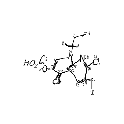 CC(C)(CF)n1cc(OC(=O)O)c(=O)c2cc(F)c(Cl)nc21